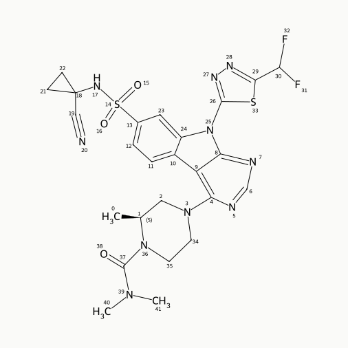 C[C@H]1CN(c2ncnc3c2c2ccc(S(=O)(=O)NC4(C#N)CC4)cc2n3-c2nnc(C(F)F)s2)CCN1C(=O)N(C)C